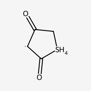 O=C1[CH]C(=O)[SH4]C1